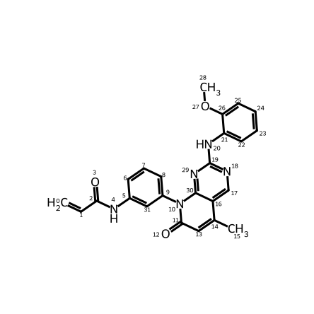 C=CC(=O)Nc1cccc(-n2c(=O)cc(C)c3cnc(Nc4ccccc4OC)nc32)c1